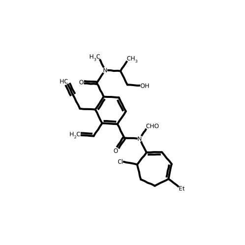 C#CCc1c(C(=O)N(C)C(C)CO)ccc(C(=O)N(C=O)C2=CC=C(CC)CCC2Cl)c1C=C